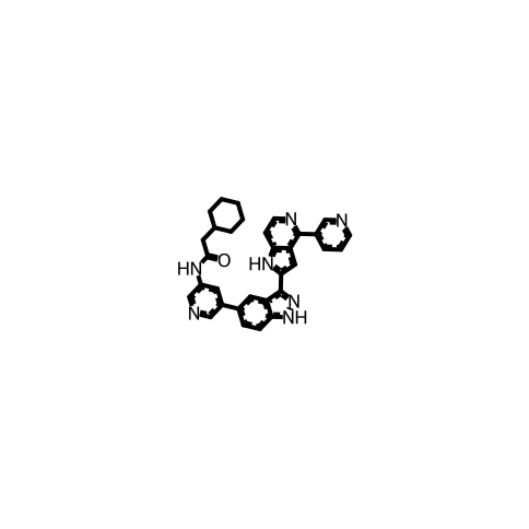 O=C(CC1CCCCC1)Nc1cncc(-c2ccc3[nH]nc(-c4cc5c(-c6cccnc6)nccc5[nH]4)c3c2)c1